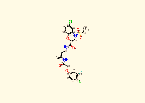 C=C(CCNC(=O)C1CN(S(=O)(=O)CC(F)(F)F)c2cc(Cl)ccc2O1)NC(=O)COc1ccc(Cl)c(F)c1